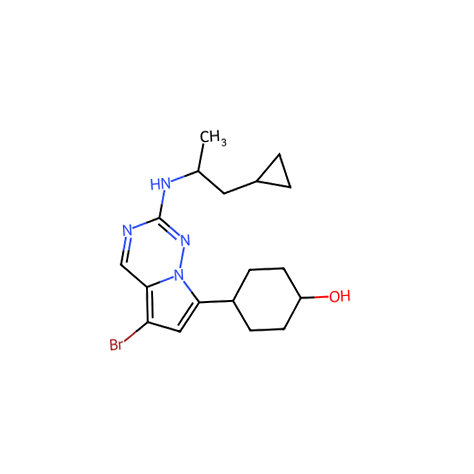 CC(CC1CC1)Nc1ncc2c(Br)cc(C3CCC(O)CC3)n2n1